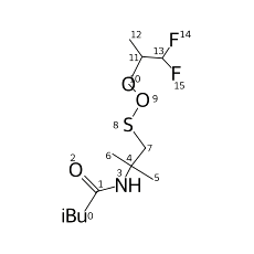 CCC(C)C(=O)NC(C)(C)CSOOC(C)C(F)F